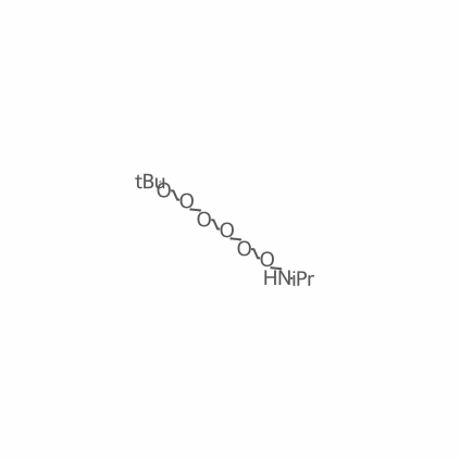 CC(C)NCCOCCOCCOCCOCCOCCOC(C)(C)C